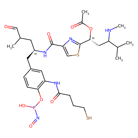 CNC(C[C@@H](OC(C)=O)c1nc(C(=O)N[C@@H](Cc2ccc(OP(O)N=O)c(NC(=O)CCCS)c2)CC(C)C=O)cs1)C(C)C